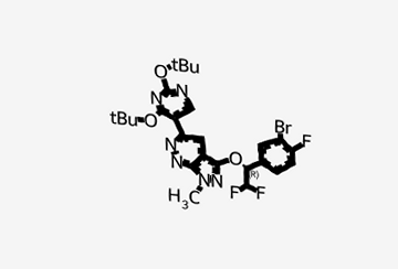 Cn1nc(O[C@H](c2ccc(F)c(Br)c2)C(F)F)c2cc(-c3cnc(OC(C)(C)C)nc3OC(C)(C)C)nnc21